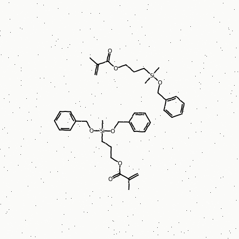 C=C(C)C(=O)OCCC[Si](C)(C)OCc1ccccc1.C=C(C)C(=O)OCCC[Si](C)(OCc1ccccc1)OCc1ccccc1